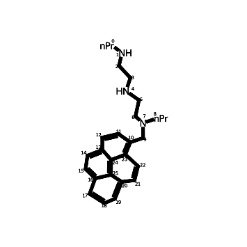 CCCNCCNCCN(CCC)Cc1ccc2ccc3cccc4ccc1c2c34